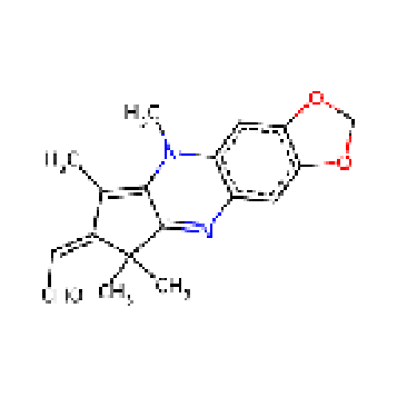 CC1=C2C(=Nc3cc4c(cc3N2C)OCO4)C(C)(C)C1=CC=O